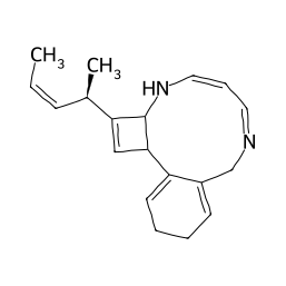 C/C=C\[C@@H](C)C1=CC2C3=CCCC=C3C/N=C\C=C/NC12